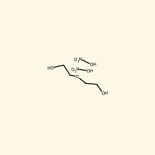 O=[N+]([O-])O.O=[N+]([O-])O.OCCOCCO